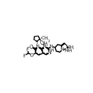 C[C@@]1(O)CCC[C@H]1n1c(=O)c(OC(F)F)cc2cnc(NC3CCN4NNC=C4C3)nc21